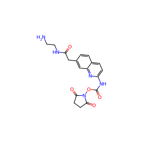 NCCNC(=O)Cc1ccc2ccc(NC(=O)ON3C(=O)CCC3=O)nc2c1